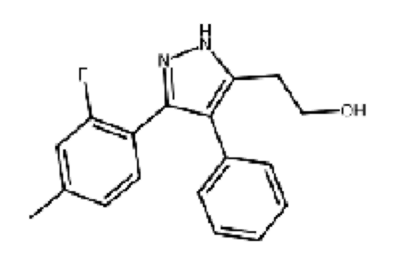 Cc1ccc(-c2n[nH]c(CCO)c2-c2ccccc2)c(F)c1